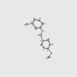 [N]Cc1ccc(OCc2cccc(F)c2)cc1